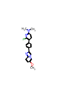 COc1ccc2nc(-c3ccc(-c4ccc(N(C)C)nc4F)cc3)cn2c1